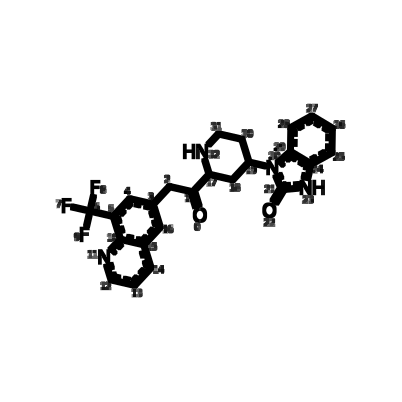 O=C(Cc1cc(C(F)(F)F)c2ncccc2c1)C1CC(n2c(=O)[nH]c3ccccc32)CCN1